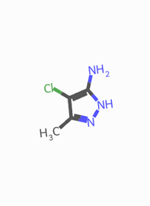 Cc1n[nH]c(N)c1Cl